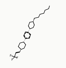 CCCCCCC[C@H]1CC[C@H](c2ccc([C@H]3CC[C@H](C=CC(F)(F)F)CC3)cc2)CC1